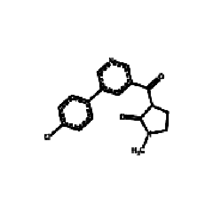 CN1CCC(C(=O)c2cncc(-c3ccc(Cl)cc3)c2)C1=O